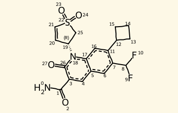 NC(=O)c1cc2cc(C(F)F)c(C3CCC3)cc2n([C@@H]2C=CS(=O)(=O)C2)c1=O